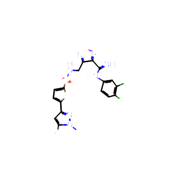 Cn1nc(-c2ccc(S(=O)(=O)NCc3nonc3C(=N)Nc3ccc(F)c(Cl)c3)s2)cc1C(F)(F)F